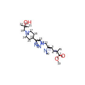 C=N/C(=C\C=C(/C)C(=O)OC)Cn1cc(C2CCN(CC(C)(C)O)CC2)nn1